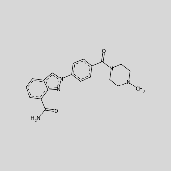 CN1CCN(C(=O)c2ccc(-n3cc4cccc(C(N)=O)c4n3)cc2)CC1